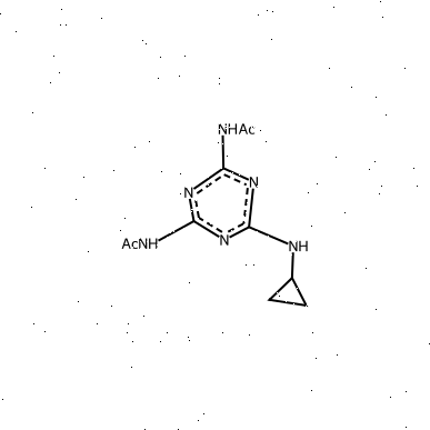 CC(=O)Nc1nc(NC(C)=O)nc(NC2CC2)n1